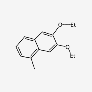 CCOc1cc2cccc(C)c2cc1OCC